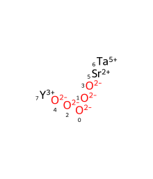 [O-2].[O-2].[O-2].[O-2].[O-2].[Sr+2].[Ta+5].[Y+3]